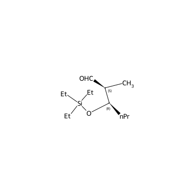 CCC[C@@H](O[Si](CC)(CC)CC)[C@H](C)C=O